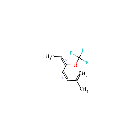 C=C(C)/C=C\C(=C/C)OC(F)(F)F